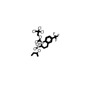 CCC(C)OP(=O)(O)C1CCc2cc(C(F)(F)F)ccc2N1C(=O)OCC(Cl)(Cl)Cl